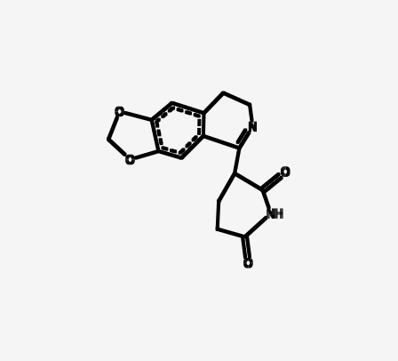 O=C1CCC(C2=NCCc3cc4c(cc32)OCO4)C(=O)N1